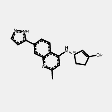 Cc1cc(N[C@@H]2C=C(O)CC2)c2ccc(-c3ccn[nH]3)cc2n1